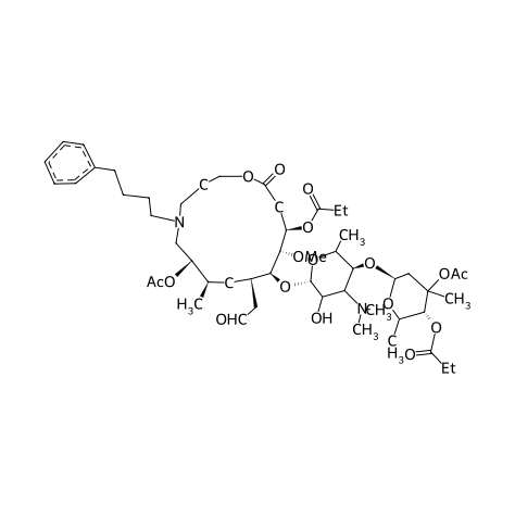 CCC(=O)O[C@@H]1C(C)O[C@@H](O[C@@H]2C(C)O[C@@H](O[C@H]3[C@@H](CC=O)C[C@@H](C)[C@@H](OC(C)=O)CN(CCCCc4ccccc4)CCCOC(=O)C[C@@H](OC(=O)CC)[C@@H]3OC)C(O)C2N(C)C)CC1(C)OC(C)=O